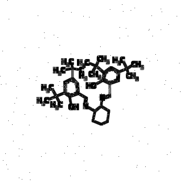 CC(C)(C)c1cc(C=NC2CCCCC2N=Cc2cc(C(C)(C)C)cc(C(C)(C)C)c2O)c(O)c(C(C)(C)C)c1